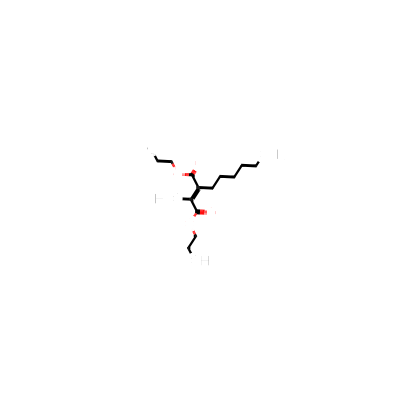 CCCCCCC(C(=O)OCCC)=C(C)C(=O)OCCC